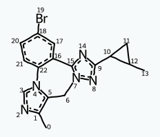 Cc1ncn2c1Cn1nc(C3CC3C)nc1-c1cc(Br)ccc1-2